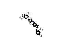 C[C@@H]1CN(C2=NC(=O)/C(=C\c3ccc4c(cnn4Cc4ccc(Cl)cc4C(F)(F)F)c3)S2)C[C@H](C)N1